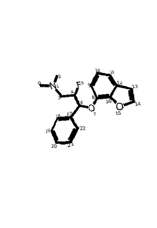 CN(C)CC(F)C(Oc1cccc2ccoc12)c1ccccc1